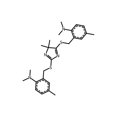 Cc1ccc(N(C)C)c(CSC2=NC(C)(C)C(SCc3cc(C)ccc3N(C)C)=N2)c1